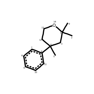 CC1(C)CC(C)(c2ccccc2)CCO1